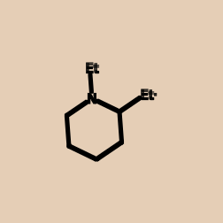 C[CH]C1CCCCN1CC